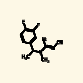 CC/C(=N\C#N)N(C)C(C)c1ccc(F)c(F)c1